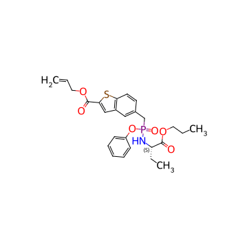 C=CCOC(=O)c1cc2cc(CP(=O)(N[C@@H](CC)C(=O)OCCC)Oc3ccccc3)ccc2s1